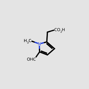 Cn1c(C=O)ccc1CC(=O)O